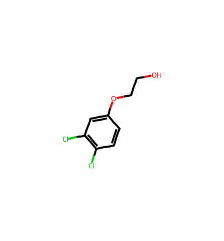 OCCOc1ccc(Cl)c(Cl)c1